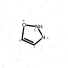 [C]1=C[N]NO1